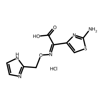 Cl.Nc1nc(C(=NOCc2ncc[nH]2)C(=O)O)cs1